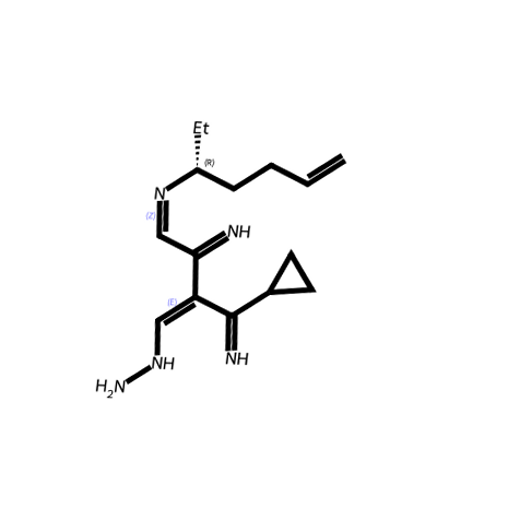 C=CCC[C@@H](CC)/N=C\C(=N)/C(=C/NN)C(=N)C1CC1